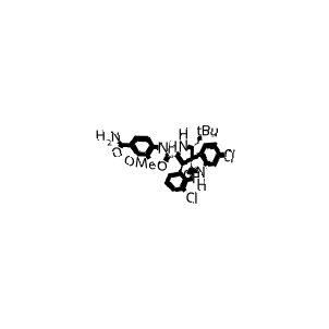 COc1cc(C(N)=O)ccc1NC(=O)[C@@H]1N[C@H](CC(C)(C)C)[C@]2(C(=O)Nc3cc(Cl)ccc32)[C@H]1c1cccc(Cl)c1F